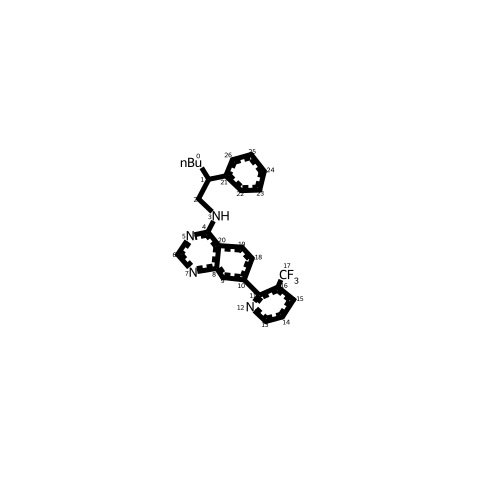 CCCCC(CNc1ncnc2cc(-c3ncccc3C(F)(F)F)ccc12)c1ccccc1